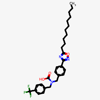 CCCCCCCCCCCc1nc(-c2ccc(CN(Cc3ccc(C(F)(F)F)cc3)C(=O)O)cc2)no1